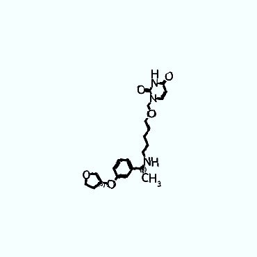 C[C@@H](NCCCCCOCn1ccc(=O)[nH]c1=O)c1cccc(O[C@H]2CCOC2)c1